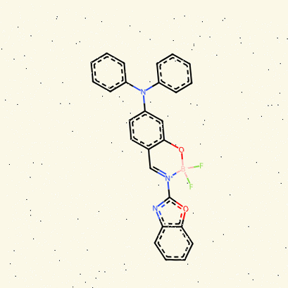 F[B-]1(F)Oc2cc(N(c3ccccc3)c3ccccc3)ccc2C=[N+]1c1nc2ccccc2o1